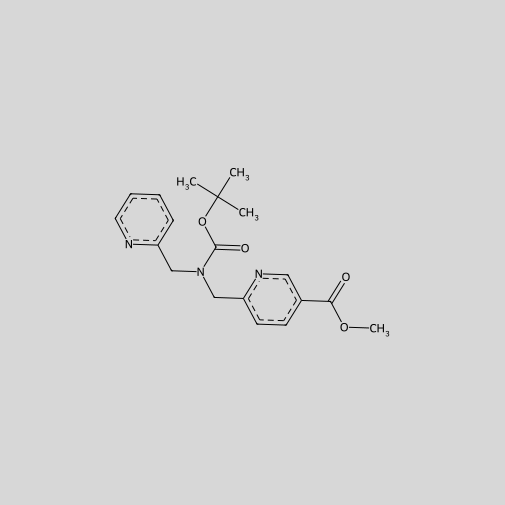 COC(=O)c1ccc(CN(Cc2ccccn2)C(=O)OC(C)(C)C)nc1